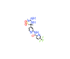 CN1C(=N)N[C@](C)(c2ccnc(NC(=O)c3ccc(C(F)(F)F)cn3)c2)CS1(=O)=O